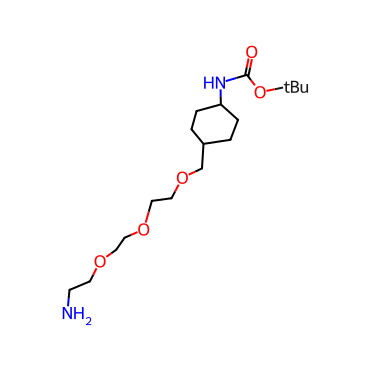 CC(C)(C)OC(=O)NC1CCC(COCCOCCOCCN)CC1